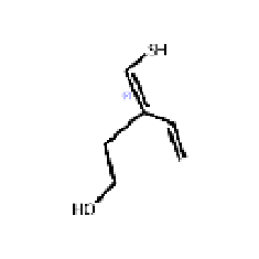 C=C/C(=C\S)CCO